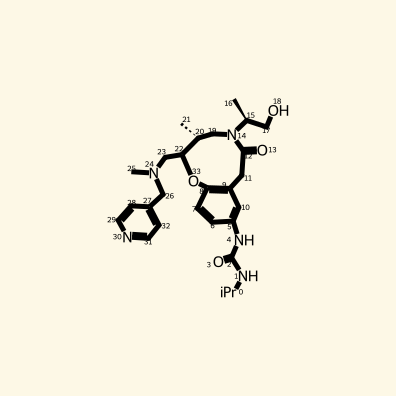 CC(C)NC(=O)Nc1ccc2c(c1)CC(=O)N([C@@H](C)CO)C[C@@H](C)C(CN(C)Cc1ccncc1)O2